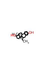 CCC1Cc2cc(O)ccc2C2CC[C@]3(C)[C@@H](O)CC[C@H]3[C@H]12